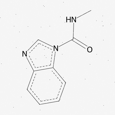 CNC(=O)n1cnc2ccccc21